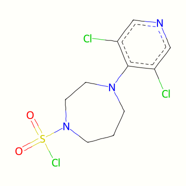 O=S(=O)(Cl)N1CCCN(c2c(Cl)cncc2Cl)CC1